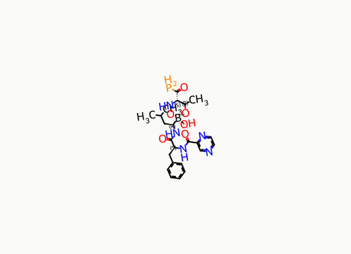 CC(C)C[C@H](NC(=O)[C@H](Cc1ccccc1)NC(=O)c1cnccn1)[B-]1(O)ON[C@H](C(=O)P)[C@@H](C)O1